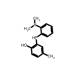 Cc1ccc(O)c(Pc2ccccc2N(C)C)c1